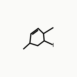 CC1C=CC(C)C(I)C1